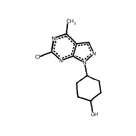 Cc1nc(Cl)nc2c1cnn2C1CCC(O)CC1